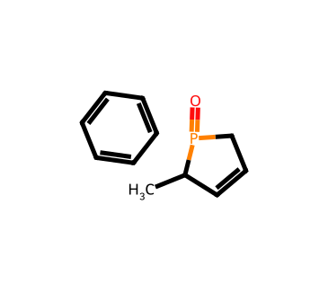 CC1C=CC[P@]1(=O)c1ccccc1